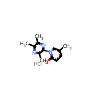 Cc1ccc(=O)n(-c2nc(C)c(C)nc2C)c1.Cl